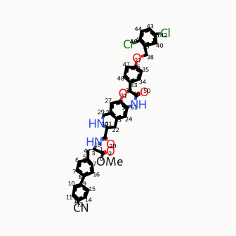 COC(=O)[C@H](Cc1ccc(-c2ccc(C#N)cc2)cc1)NC(=O)C1Cc2cc3c(cc2CN1)OC(c1ccc(OCc2cc(Cl)ccc2Cl)cc1)C(=O)N3